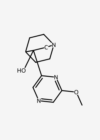 COc1cncc(C2(O)CN3CCC2CC3)n1